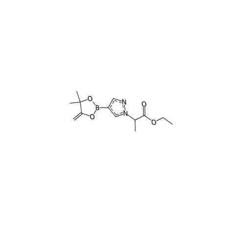 C=C1OB(c2cnn(C(C)C(=O)OCC)c2)OC1(C)C